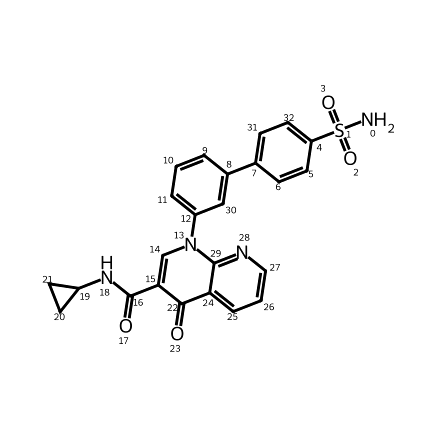 NS(=O)(=O)c1ccc(-c2cccc(-n3cc(C(=O)NC4CC4)c(=O)c4cccnc43)c2)cc1